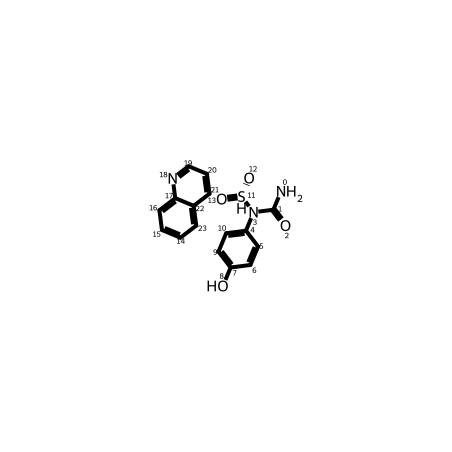 NC(=O)N(c1ccc(O)cc1)[SH](=O)=O.c1ccc2ncccc2c1